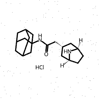 Cl.O=C(C[C@@H]1C[C@H]2CC[C@@H](C1)N2)NC12CC3CC(CC(C3)C1)C2